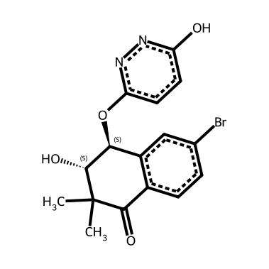 CC1(C)C(=O)c2ccc(Br)cc2[C@H](Oc2ccc(O)nn2)[C@H]1O